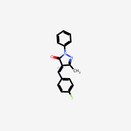 CC1=NN(c2ccccc2)C(=O)/C1=C/c1ccc(F)cc1